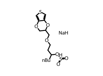 CCCCC(CCOCC1COc2cscc2O1)O[SH](=O)=O.[NaH]